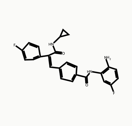 Nc1ccc(F)cc1NC(=O)c1ccc(C=C(C(=O)NC2CC2)c2ccc(F)cc2)cc1